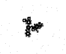 CN(C[C@H]1CN(Cc2ccccc2)C[C@@H]1c1ccc(Cl)c(Cl)c1)c1ccc(C(F)(F)F)cn1